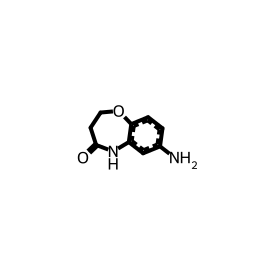 Nc1ccc2c(c1)NC(=O)CCO2